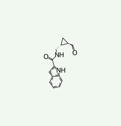 O=C[C@@H]1C[C@H]1CNC(=O)c1cc2ccccc2[nH]1